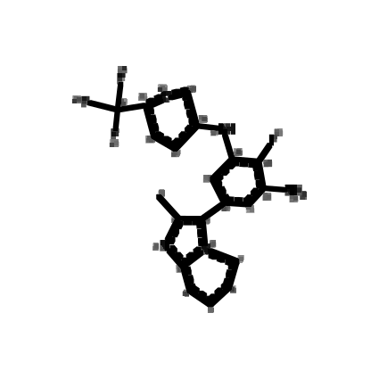 Cc1nc2ccccn2c1-c1cc(N)c(F)c(Nc2ccc(C(F)(F)F)cc2)c1